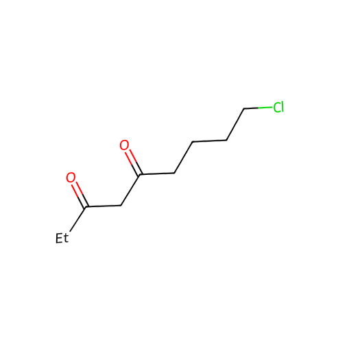 CCC(=O)CC(=O)CCCCCl